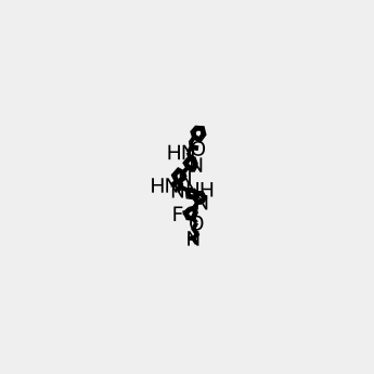 CN(C)CCOc1cc(F)cc(-c2nccc3[nH]c(-c4n[nH]c5ccc(-c6cncc(NC(=O)Cc7ccccc7)c6)nc45)cc23)c1